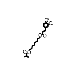 C=C(C)C(=O)OCCCCCCCCOC(=O)C=Cc1ccc(OC)c(OC)c1